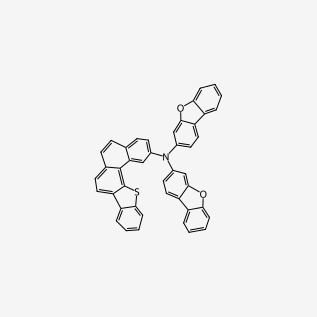 c1ccc2c(c1)oc1cc(N(c3ccc4c(c3)oc3ccccc34)c3ccc4ccc5ccc6c7ccccc7sc6c5c4c3)ccc12